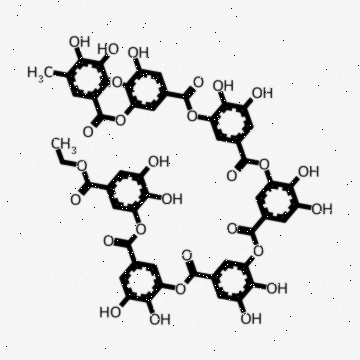 CCOC(=O)c1cc(O)c(O)c(OC(=O)c2cc(O)c(O)c(OC(=O)c3cc(O)c(O)c(OC(=O)c4cc(O)c(O)c(OC(=O)c5cc(O)c(O)c(OC(=O)c6cc(O)c(O)c(OC(=O)c7cc(C)c(O)c(O)c7)c6)c5)c4)c3)c2)c1